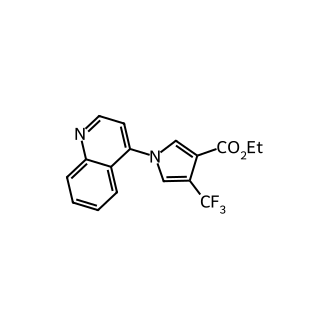 CCOC(=O)c1cn(-c2ccnc3ccccc23)cc1C(F)(F)F